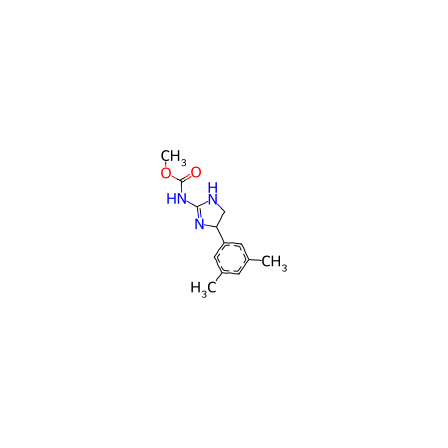 COC(=O)NC1=NC(c2cc(C)cc(C)c2)CN1